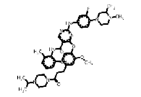 COc1cc(CCC(=O)N2CCN(C(C)C)CC2)ccc1Oc1nc(Nc2ccc(N3CCN(C)C(C)C3)c(F)c2)ncc1C(=O)Nc1c(C)cccc1C